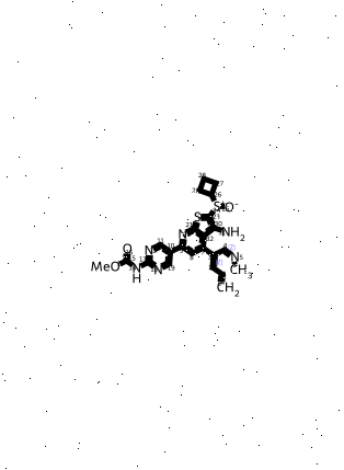 C=C/C=C(\C=N/C)c1cc(-c2cnc(NC(=O)OC)nc2)nc2sc([S+]([O-])C3CCC3)c(N)c12